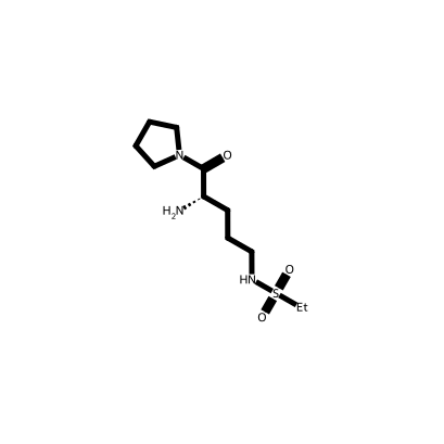 CCS(=O)(=O)NCCC[C@H](N)C(=O)N1CCCC1